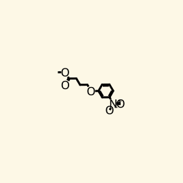 COC(=O)CCCOc1cccc([N+](=O)[O-])c1